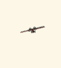 CCCCCCCCCCCCOC(=O)CCN(CCC(=O)OCCCCCCCCCCCC)[C@@H](CO)CC(C)C